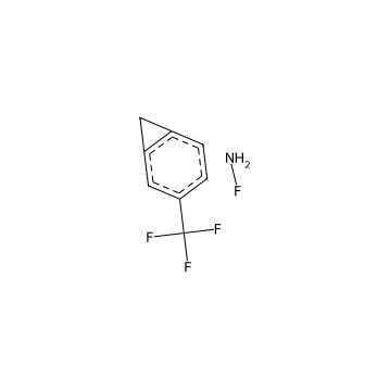 FC(F)(F)c1ccc2c(c1)C2.NF